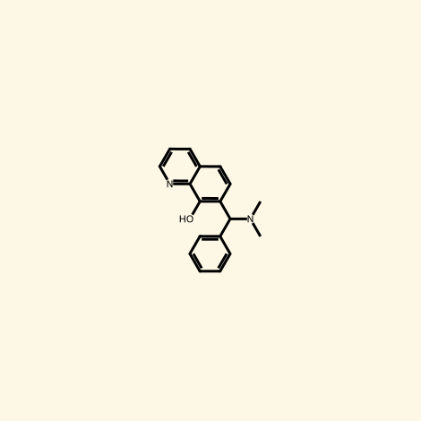 CN(C)C(c1ccccc1)c1ccc2cccnc2c1O